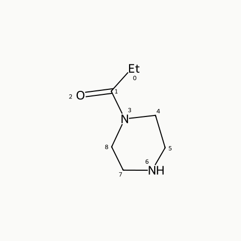 [CH2]CC(=O)N1CCNCC1